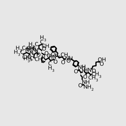 CC[C@H](C)[C@@H]([C@@H](CC(=O)N1CCC[C@H]1[C@H](OC)[C@@H](C)C(=O)N[C@@H](Cc1ccccc1)C[C@H](C)C(=O)NOCc1ccc(NC(=O)[C@@H](CCCNC(N)=O)NC(=O)C(NC(=O)CCCC(=O)O)C(C)C)cc1)OC)N(C)C(=O)[C@@H](NC(=O)C(C(C)C)N(C)C)C(C)C